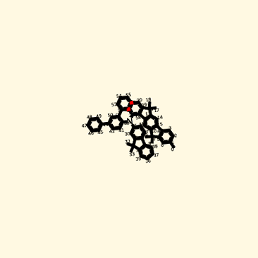 Cc1ccc2c(c1)C(C)(C)c1cc3c(cc1-2)C(C)(C)c1cccc(N(c2ccc4c(c2)C(C)(C)c2ccccc2-4)c2ccc(-c4ccccc4)cc2-c2ccccc2)c1-3